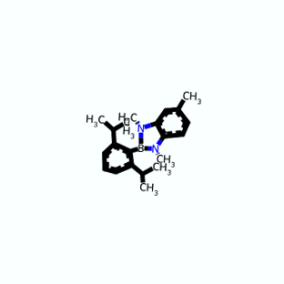 Cc1ccc2c(c1)N(C)B(c1c(C(C)C)cccc1C(C)C)N2C